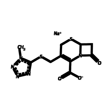 Cn1nnnc1SCC1=C(C(=O)[O-])N2C(=O)CC2SC1.[Na+]